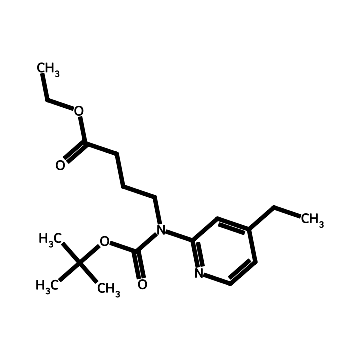 CCOC(=O)CCCN(C(=O)OC(C)(C)C)c1cc(CC)ccn1